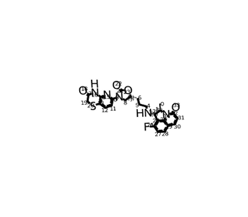 C[C@@H]1[C@@H](NCCC[C@@H]2CN(c3ccc4c(n3)NC(=O)CS4)C(=O)O2)c2c(F)ccc3ccc(=O)n1c23